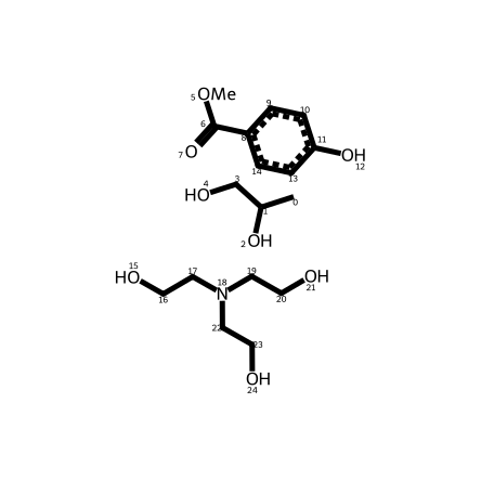 CC(O)CO.COC(=O)c1ccc(O)cc1.OCCN(CCO)CCO